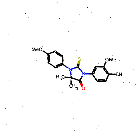 COc1ccc(N2C(=S)N(c3ccc(C#N)c(OC)c3)C(=O)C2(C)C)cc1